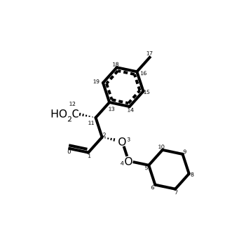 C=C[C@@H](OOC1CCCCC1)[C@H](C(=O)O)c1ccc(C)cc1